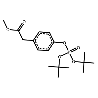 COC(=O)Cc1ccc(OP(=O)(OC(C)(C)C)OC(C)(C)C)cc1